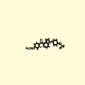 CC(=O)Nc1ccc(Nc2nccn3c(-c4ccc(OC(F)F)cc4)cnc23)cc1